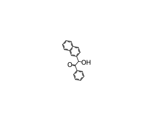 O=C(c1ccccc1)C(O)c1ccc2ccccc2c1